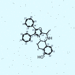 CC(NC1CCCc2c(O)cccc21)c1nc(-c2ccccc2)c(-c2ccccc2)o1